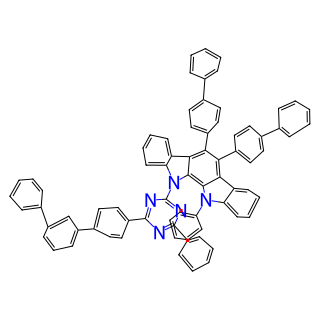 c1ccc(-c2ccc(-c3c(-c4ccc(-c5ccccc5)cc4)c4c5ccccc5n(-c5nc(-c6ccccc6)nc(-c6ccc(-c7cccc(-c8ccccc8)c7)cc6)n5)c4c4c3c3ccccc3n4-c3ccccc3)cc2)cc1